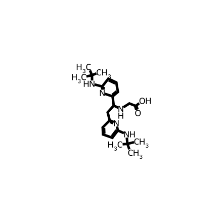 CC(C)(C)Nc1cccc(CC(NCC(=O)O)c2cccc(NC(C)(C)C)n2)n1